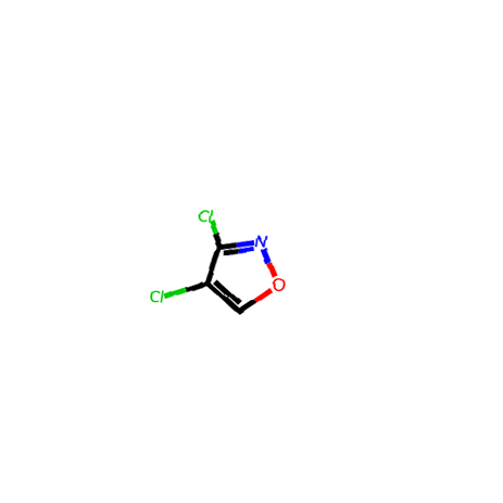 Clc1conc1Cl